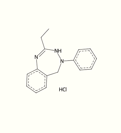 CCC1=Nc2ccccc2CN(c2ccccc2)N1.Cl